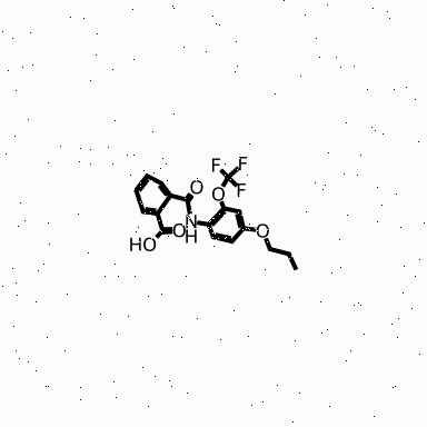 CCCOc1ccc(NC(=O)c2ccccc2C(=O)O)c(OC(F)(F)F)c1